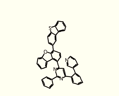 c1ccc(-c2nc(-c3ccccc3-c3cccnc3)cc(-c3ccc(-c4ccc5sc6ccccc6c5c4)c4oc5ccccc5c34)n2)cc1